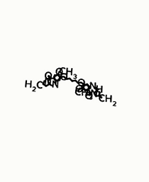 C=C1CC2C=Nc3cc(OCCCCCOc4cc5c(cc4OC)C(=O)N4CC(=C)C[C@H]4C=N5)c(OC)cc3C(=O)N2C1